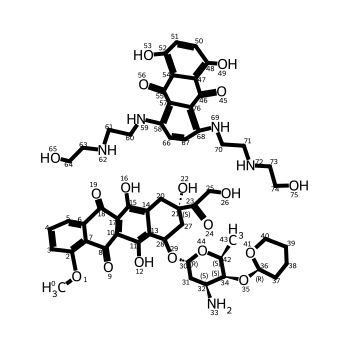 COc1cccc2c1C(=O)c1c(O)c3c(c(O)c1C2=O)C[C@@](O)(C(=O)CO)CC3O[C@H]1C[C@H](N)[C@H](O[C@@H]2CCCCO2)[C@H](C)O1.O=C1c2c(O)ccc(O)c2C(=O)c2c(NCCNCCO)ccc(NCCNCCO)c21